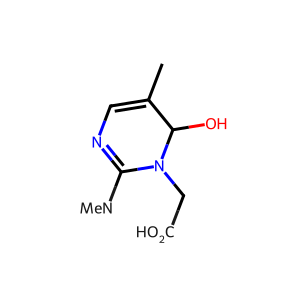 CNC1=NC=C(C)C(O)N1CC(=O)O